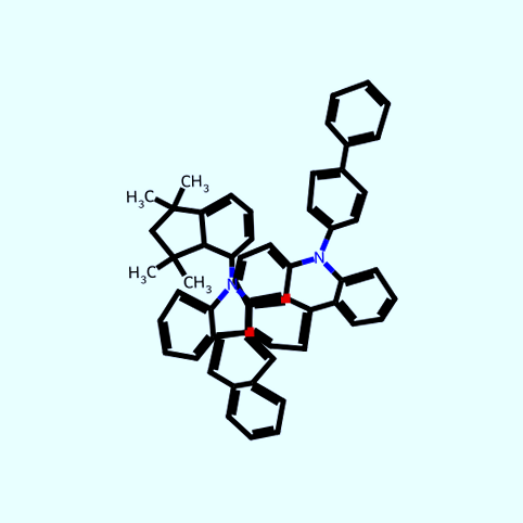 CC1(C)CC(C)(C)C2C1=CC=CC2n1c2ccccc2c2ccc(-c3ccccc3N(c3ccc(-c4ccccc4)cc3)c3cccc(-c4ccc5ccccc5c4)c3)cc21